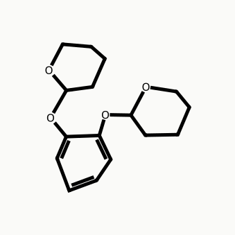 c1ccc(OC2CCCCO2)c(OC2CCCCO2)c1